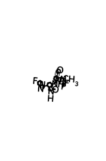 CN(Cc1nc(Nc2ccc(-c3cnc4cc(F)ccn34)c3c2C(=O)NC3)ccc1[C@@H]1CCOC1)CC(F)F